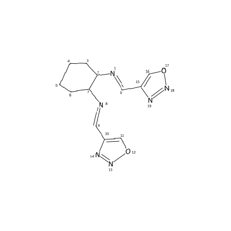 C(=N\C1CCCCC1/N=C/c1conn1)/c1conn1